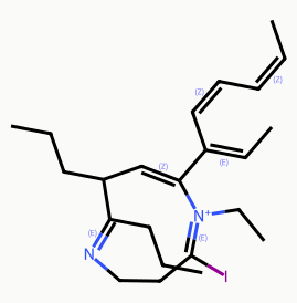 C\C=C/C=C\C(=C/C)C1=C\C(CCC)/C(CCC)=N/CC\C(I)=[N+]/1CC